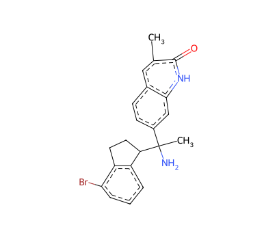 Cc1cc2ccc(C(C)(N)C3CCc4c(Br)cccc43)cc2[nH]c1=O